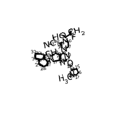 C=C(F)C(O)N1CCN(c2nc(OC[C@@H]3CCCN3C)nc3c2CCN(c2cccc4cccc(C)c24)C3)C[C@@H]1CC#N